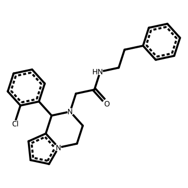 O=C(CN1CCn2cccc2C1c1ccccc1Cl)NCCc1ccccc1